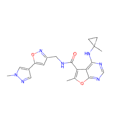 Cc1oc2ncnc(NC3(C)CC3)c2c1C(=O)NCc1cc(-c2cnn(C)c2)on1